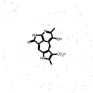 Cc1nc2c(c(C)c1O)C(=Cc1[nH]c(C)c(C(=O)O)c1C)C(=O)N2